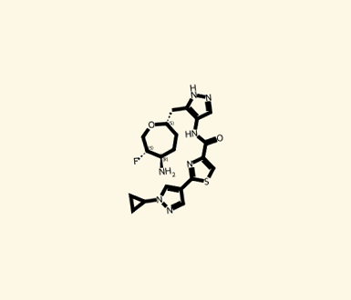 N[C@@H]1CC[C@@H](Cc2[nH]ncc2NC(=O)c2csc(-c3cnn(C4CC4)c3)n2)OC[C@H]1F